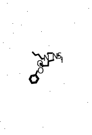 CCCCN1CCN(SI)CC1CC(=O)OCc1ccccc1